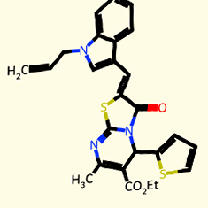 C=CCn1cc(/C=c2\sc3n(c2=O)C(c2cccs2)C(C(=O)OCC)=C(C)N=3)c2ccccc21